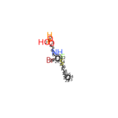 O=[PH](O)OCCCNCc1cc(F)c(SCCCCCc2ccccc2)cc1Br